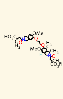 COc1cc2c(cc1OCCCOc1c(C)c3c(c(F)c1OC)CN(C(=O)CC(C)C(=O)O)C3C)CN(C(=O)CC(C)C(=O)O)C2